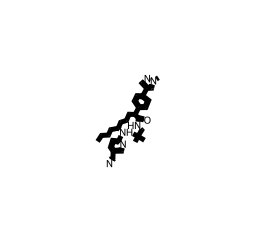 CCCCC(CCCC(C(=O)NCC(C)(C)C)c1ccc(-c2cnn(C)c2)cc1)Nc1ccc(C#N)cn1